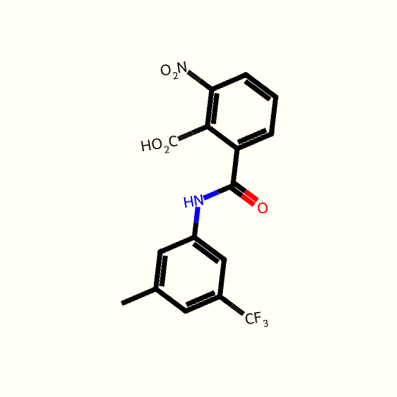 Cc1cc(NC(=O)c2cccc([N+](=O)[O-])c2C(=O)O)cc(C(F)(F)F)c1